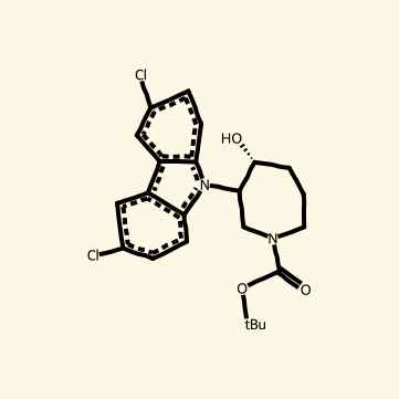 CC(C)(C)OC(=O)N1CCC[C@@H](O)C(n2c3ccc(Cl)cc3c3cc(Cl)ccc32)C1